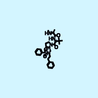 CN[C@@H](C)C(=O)N[C@H](C(=O)N1CCC[C@H]1CN(CCc1ccccc1)S(=O)(=O)c1ccccc1)C(C)(C)C